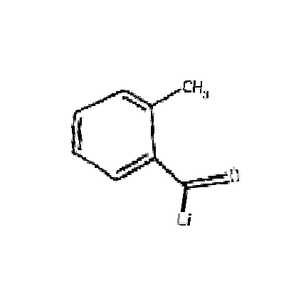 [Li][C](=O)c1ccccc1C